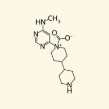 CNc1cc([N+]2(C(=O)[O-])CCC(C3CCNCC3)CC2)ncn1